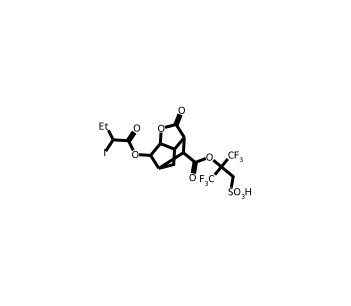 CCC(I)C(=O)OC1C2CC3C1OC(=O)C3C2C(=O)OC(CS(=O)(=O)O)(C(F)(F)F)C(F)(F)F